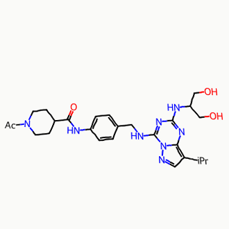 CC(=O)N1CCC(C(=O)Nc2ccc(CNc3nc(NC(CO)CO)nc4c(C(C)C)cnn34)cc2)CC1